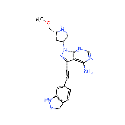 COC[C@H]1CC(n2nc(C#Cc3ccc4cn[nH]c4c3)c3c(N)ncnc32)CN1